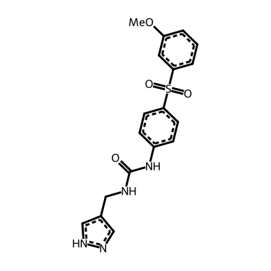 COc1cccc(S(=O)(=O)c2ccc(NC(=O)NCc3cn[nH]c3)cc2)c1